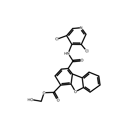 O=C(OCO)c1ccc(C(=O)Nc2c(Cl)cncc2Cl)c2c1oc1ccccc12